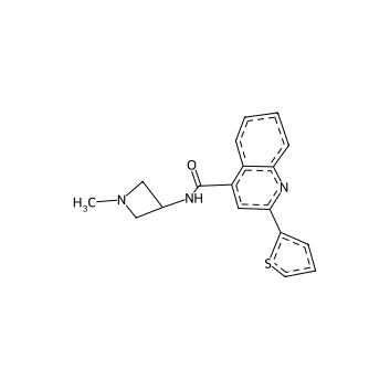 CN1CC(NC(=O)c2cc(-c3cccs3)nc3ccccc23)C1